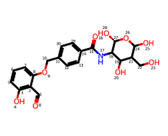 O=Cc1c(O)cccc1OCc1ccc(C(=O)NC2C(O)C(CO)C(O)O[C@@H]2O)cc1